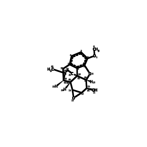 COc1ccc2c3c1O[C@H]1[C@@H](O)C4OC4[C@H]4[C@@H](C2)N(C)CC[C@]314